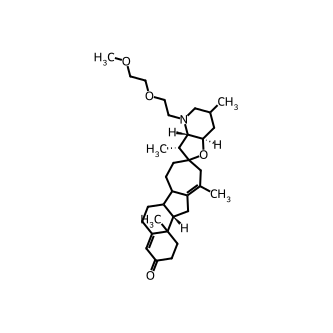 COCCOCCN1CC(C)C[C@H]2OC3(CCC4C(=C(C)C3)C[C@H]3C4CCC4=CC(=O)CCC43C)[C@H](C)[C@@H]21